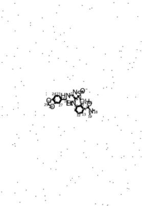 CC[C@@H](Nc1n[s+]([O-])nc1Nc1cccc(C(=O)N(C)C)c1O)c1ccc2c(c1)OCO2